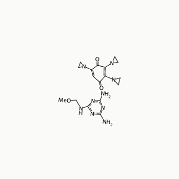 COCNc1nc(N)nc(N)n1.O=C1C=C(N2CC2)C(=O)C(N2CC2)=C1N1CC1